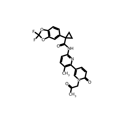 CC(=O)Cn1cc(-c2nc(NC(=O)C3(c4ccc5c(c4)OC(F)(F)O5)CC3)ccc2C)ccc1=O